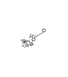 CC(N)(COP(=O)(O)O)c1nnc(-c2ccc(OCCCCCc3ccccc3)c(C(F)(F)F)c2)s1